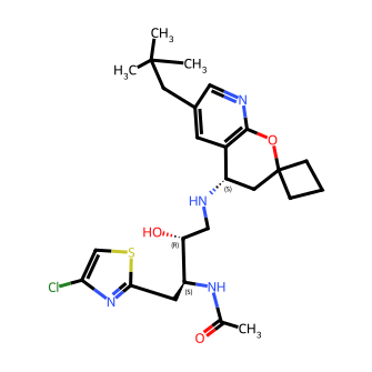 CC(=O)N[C@@H](Cc1nc(Cl)cs1)[C@H](O)CN[C@H]1CC2(CCC2)Oc2ncc(CC(C)(C)C)cc21